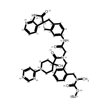 CN(Cc1ccccc1CN(CC(=O)Nc1ccc2c(c1)C[C@@]1(C2)C(=O)Nc2ncccc21)C(=O)C1(C)CCN(c2ccncn2)CC1)C(=O)OC(C)(C)C